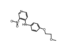 COCCOc1ccc(Nc2ccncc2[N+](=O)[O-])cc1